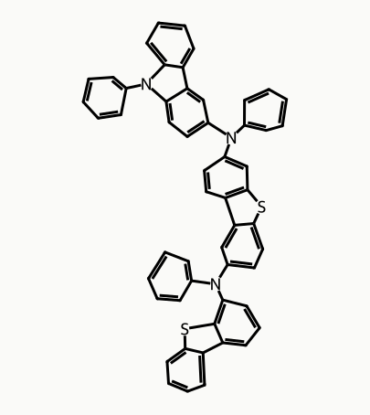 c1ccc(N(c2ccc3c(c2)sc2ccc(N(c4ccccc4)c4cccc5c4sc4ccccc45)cc23)c2ccc3c(c2)c2ccccc2n3-c2ccccc2)cc1